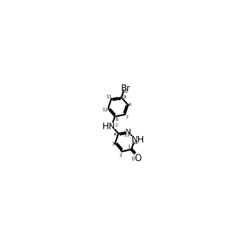 O=c1ccc(Nc2ccc(Br)cc2)n[nH]1